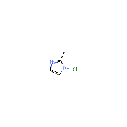 Cc1nccn1Cl